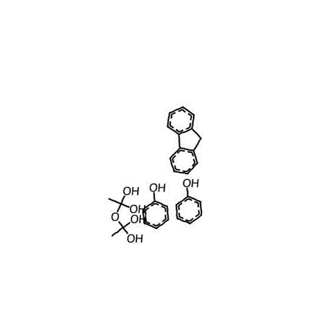 CC(O)(O)OC(C)(O)O.Oc1ccccc1.Oc1ccccc1.c1ccc2c(c1)Cc1ccccc1-2